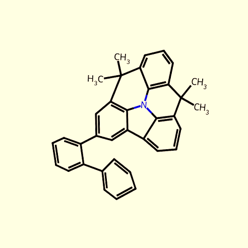 CC1(C)c2cccc3c2-n2c4c1cccc4c1cc(-c4ccccc4-c4ccccc4)cc(c12)C3(C)C